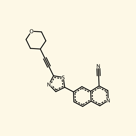 N#Cc1cncc2ccc(-c3cnc(C#CC4CCOCC4)s3)cc12